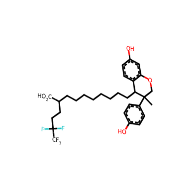 CC1(c2ccc(O)cc2)COc2cc(O)ccc2C1CCCCCCCCC(CCC(F)(F)C(F)(F)F)C(=O)O